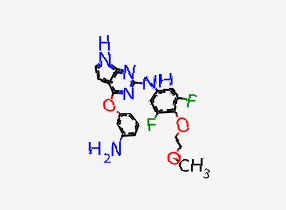 COCCOc1c(F)cc(Nc2nc(Oc3cccc(N)c3)c3cc[nH]c3n2)cc1F